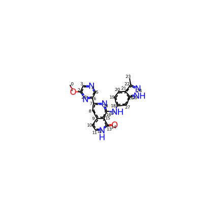 COc1cncc(-c2cc3cc[nH]c(=O)c3c(Nc3ccc4c(C)n[nH]c4c3)n2)n1